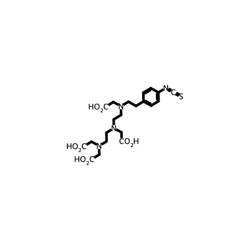 O=C(O)CN(CCc1ccc(N=C=S)cc1)CCN(CCN(CC(=O)O)CC(=O)O)CC(=O)O